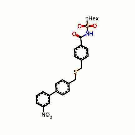 CCCCCCS(=O)(=O)NC(=O)c1ccc(CSCc2ccc(-c3cccc([N+](=O)[O-])c3)cc2)cc1